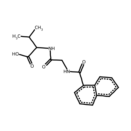 CC(C)C(NC(=O)CNC(=O)c1cccc2ccccc12)C(=O)O